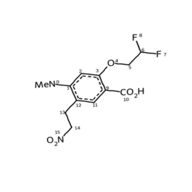 CNc1cc(OCC(F)F)c(C(=O)O)cc1CC[N+](=O)[O-]